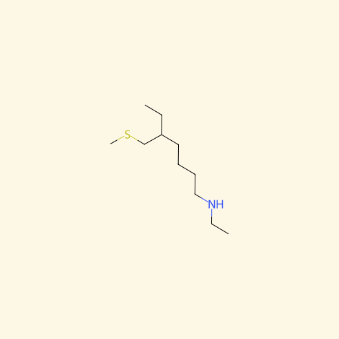 CCNCCCCC(CC)CSC